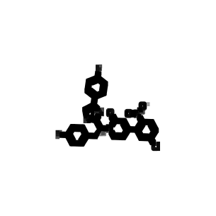 O=c1cc(-c2cc(Cl)ccc2[N+](=O)[O-])ccn1[C@@H](Cc1ccc(F)cc1)c1ncc(-c2ccc(F)cc2)[nH]1